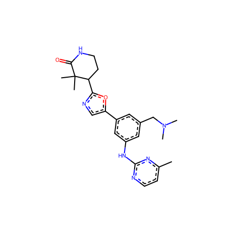 Cc1ccnc(Nc2cc(CN(C)C)cc(-c3cnc(C4CCNC(=O)C4(C)C)o3)c2)n1